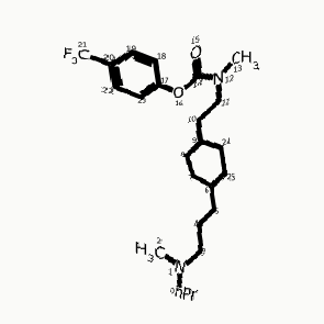 CCCN(C)CCCC1CCC(CCN(C)C(=O)Oc2ccc(C(F)(F)F)cc2)CC1